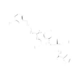 CCc1nc(NCCCc2cccc(O)c2)nc(C)c1C(=O)N[C@@H](CNC(=O)c1cccs1)C(=O)OC